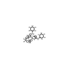 CC1(C)O[C@H]2O[C@](C=O)(COCc3ccccc3)[C@@H](OCc3ccccc3)[C@H]2O1